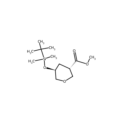 COC(=O)[C@@H]1COC[C@@H](O[Si](C)(C)C(C)(C)C)C1